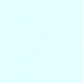 CCCCOC(=O)N1CCOc2[nH]ncc2C1